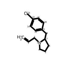 C=CCN1CCCC1Cc1ccc(Cl)cc1